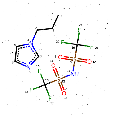 CCCn1ccnc1.O=S(=O)(NS(=O)(=O)C(F)(F)F)C(F)(F)F